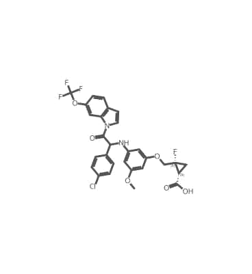 COc1cc(NC(C(=O)n2ccc3ccc(OC(F)(F)F)cc32)c2ccc(Cl)cc2)cc(OC[C@@]2(F)C[C@@H]2C(=O)O)c1